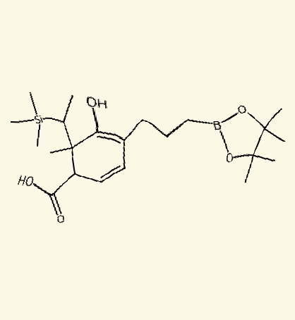 CC(C1(C)C(O)=C(CCCB2OC(C)(C)C(C)(C)O2)C=CC1C(=O)O)[Si](C)(C)C